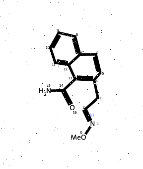 CO/N=C/Cc1ccc2ccccc2c1C(N)=O